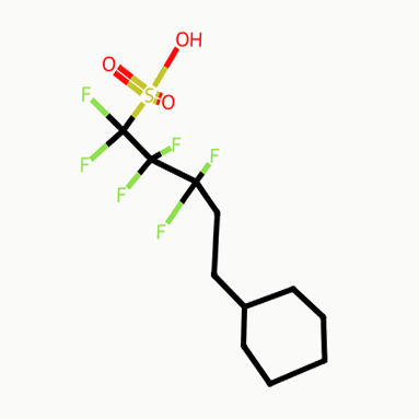 O=S(=O)(O)C(F)(F)C(F)(F)C(F)(F)CCC1CCCCC1